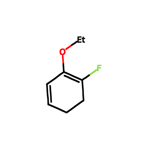 CCOC1=C(F)CCC=C1